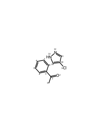 CC(=O)c1ccccc1.Clc1cn[nH]c1